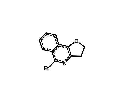 CCc1nc2c(c3ccccc13)OCC2